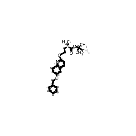 CN(CCOc1ccc2cc(OCc3ccccc3)ccc2n1)C(=O)OC(C)(C)C